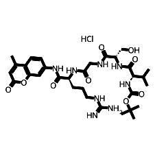 Cc1cc(=O)oc2cc(NC(=O)[C@H](CCCNC(=N)N)NC(=O)CNC(=O)[C@H](CO)NC(=O)[C@@H](NC(=O)OC(C)(C)C)C(C)C)ccc12.Cl